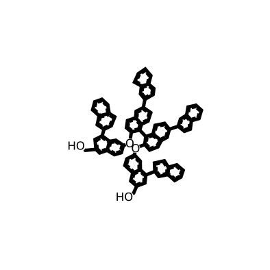 OCc1cc(-c2ccc3ccccc3c2)c2cc(Oc3ccc4cc(-c5ccc6ccccc6c5)ccc4c3-c3c(Oc4ccc5cc(CO)cc(-c6ccc7ccccc7c6)c5c4)ccc4cc(-c5ccc6ccccc6c5)ccc34)ccc2c1